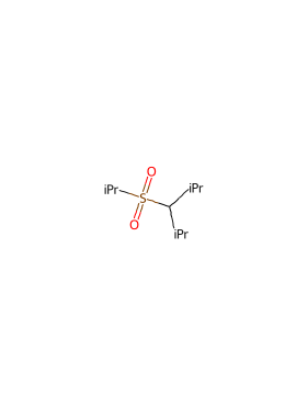 CC(C)C(C(C)C)S(=O)(=O)C(C)C